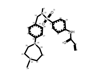 C=CC(=O)Nc1ccc(S(=O)(=O)N(C)Cc2ccc(N3CCCN(C)CC3)cc2)cc1